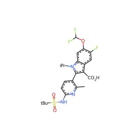 Cc1nc(NS(=O)(=O)C(C)(C)C)ccc1-c1c(C(=O)O)c2cc(F)c(OC(F)F)cc2n1C(C)C